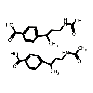 CC(=O)NCCC(C)c1ccc(C(=O)O)cc1.CC(=O)NCCC(C)c1ccc(C(=O)O)cc1